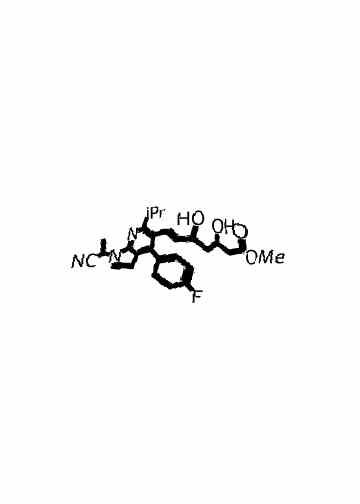 COC(=O)CC(O)CC(O)C=Cc1c(C(C)C)nc2c(ccn2C(C)C#N)c1-c1ccc(F)cc1